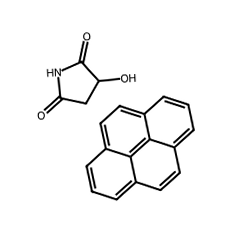 O=C1CC(O)C(=O)N1.c1cc2ccc3cccc4ccc(c1)c2c34